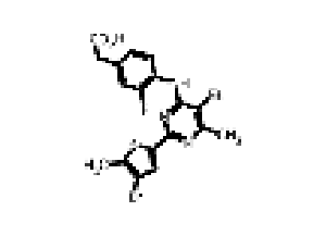 CCc1c(C)nc(-c2cc(Br)c(C)s2)nc1Nc1ccc(CC(=O)O)cc1F